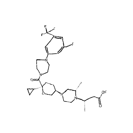 C[C@@H](CC(=O)O)N1CCN([C@@H]2CC[C@@](C(=O)N3CCN(c4cc(F)cc(C(F)(F)F)c4)CC3)(C3CC3)OC2)C[C@@H]1C